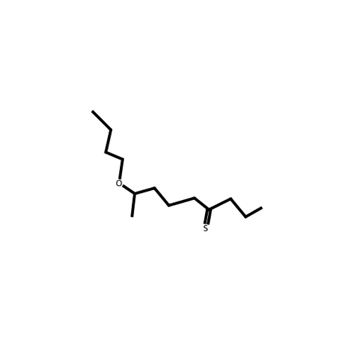 CCCCOC(C)CCCC(=S)CCC